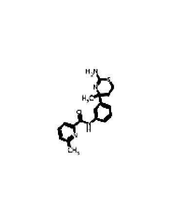 Cc1cccc(C(=O)Nc2cccc(C3(C)CCSC(N)=N3)c2)n1